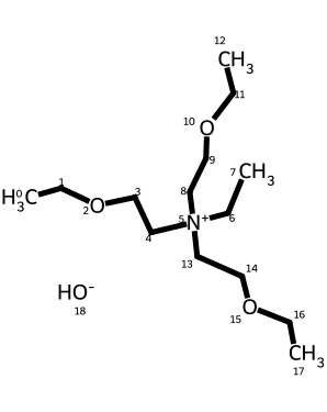 CCOCC[N+](CC)(CCOCC)CCOCC.[OH-]